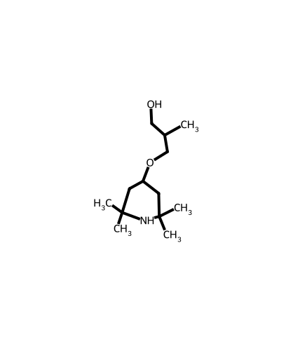 CC(CO)COC1CC(C)(C)NC(C)(C)C1